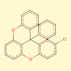 Clc1ccc2c(c1)C1(c3ccccc3)c3ccccc3Oc3cccc(c31)O2